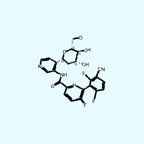 N#Cc1ccc(F)c(-c2nc(C(=O)Nc3cnccc3[C@H]3C[C@@H](O)[C@H](O)[C@@H](CCl)O3)ccc2F)c1F